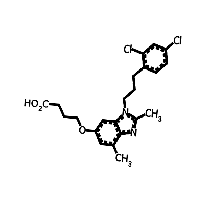 Cc1cc(OCCCC(=O)O)cc2c1nc(C)n2CCCc1ccc(Cl)cc1Cl